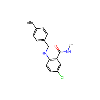 CCCCc1ccc(CNc2ccc(Cl)cc2C(=O)NCC)cc1